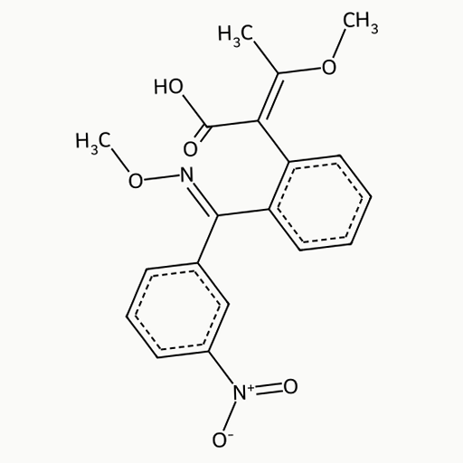 CO/N=C(\c1cccc([N+](=O)[O-])c1)c1ccccc1/C(C(=O)O)=C(/C)OC